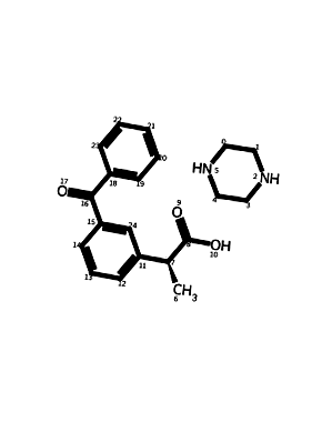 C1CNCCN1.C[C@H](C(=O)O)c1cccc(C(=O)c2ccccc2)c1